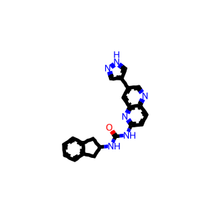 O=C(Nc1ccc2ncc(-c3cn[nH]c3)cc2n1)NC1Cc2ccccc2C1